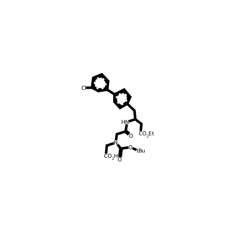 CCOC(=O)CC(Cc1ccc(-c2cccc(Cl)c2)cc1)NC(=O)CN(CC(=O)O)C(=O)OC(C)(C)C